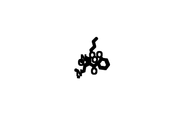 CCCCOc1noc(CN(C)C)c1C(=O)[C@]1(O)C=CC=CC1=O